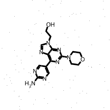 Nc1ncc(-c2nc(N3CCOCC3)nc3c2ncn3CCO)cn1